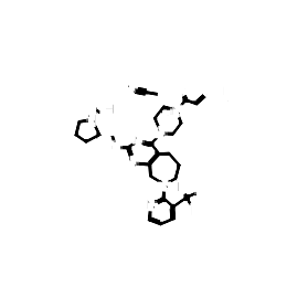 C=CC(=O)N1CCN(c2nc(OC[C@@H]3CCCN3C)nc3c2CCCN(c2ncccc2C(F)(F)F)C3)C[C@@H]1CC#N